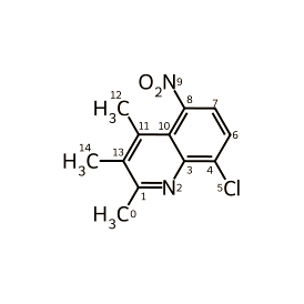 Cc1nc2c(Cl)ccc([N+](=O)[O-])c2c(C)c1C